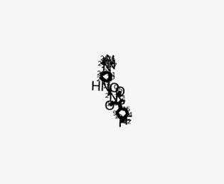 O=C(CN1C(=O)SC(=C2CCC(F)(F)CC2)C1=O)Nc1ccc(-n2ccnn2)cc1